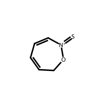 S=[N+]1C=CC=CCO1